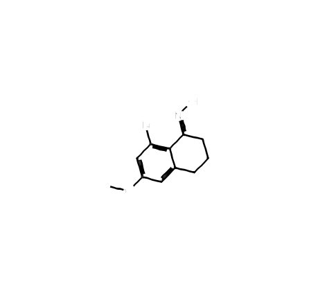 COc1cc(Br)c2c(c1)CCCC2=NO